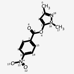 Cc1cc(OC(=O)c2ccc([N+](=O)[O-])cc2)n(C)n1